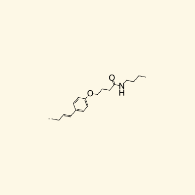 [CH2]CC=Cc1ccc(OCCCC(=O)NCCCC)cc1